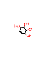 OC1C=CC(O)C(O)C1O